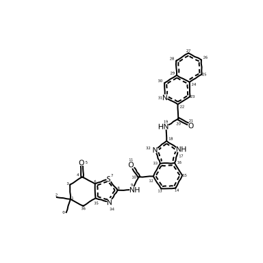 CC1(C)CC(=O)c2sc(NC(=O)c3cccc4[nH]c(NC(=O)c5cc6ccccc6cn5)nc34)nc2C1